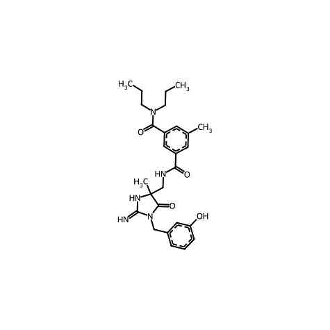 CCCN(CCC)C(=O)c1cc(C)cc(C(=O)NCC2(C)NC(=N)N(Cc3cccc(O)c3)C2=O)c1